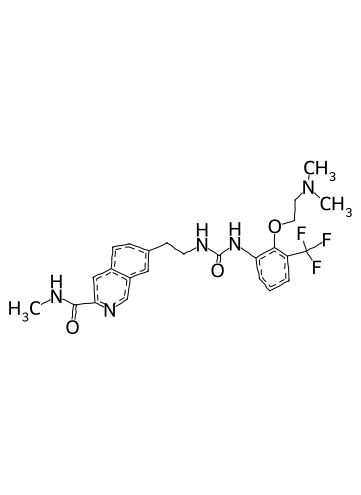 CNC(=O)c1cc2ccc(CCNC(=O)Nc3cccc(C(F)(F)F)c3OCCN(C)C)cc2cn1